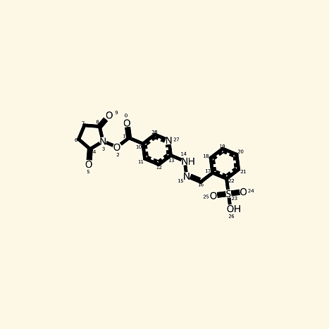 O=C(ON1C(=O)CCC1=O)c1ccc(N/N=C\c2ccccc2S(=O)(=O)O)nc1